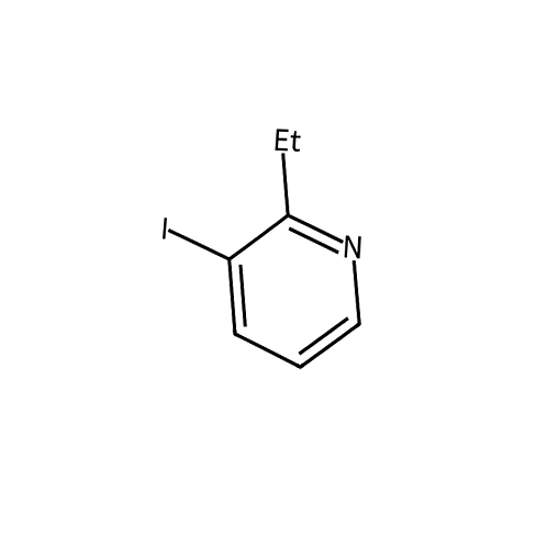 CCc1ncccc1I